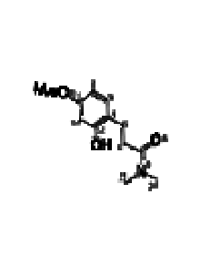 COc1ccc(C=CC(=O)N(C)C)c(O)c1